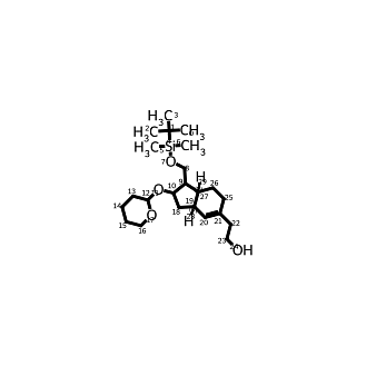 CC(C)(C)[Si](C)(C)OCC1C(OC2CCCCO2)C[C@H]2C=C(CCO)CC[C@@H]12